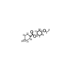 CCOc1ccc(OC(=O)C2CCC(C)CC2)cc1